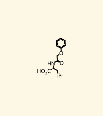 CC(C)C[C@H](NC(=O)COc1ccccc1)C(=O)O